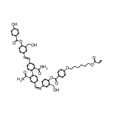 C=CC(=O)OCCCCCCOc1ccc(C(=O)Oc2ccc(/N=N\c3ccc(-c4ccc(N=Nc5ccc(OC(=O)c6ccc(O)cc6)c(CO)c5)cc4C(N)=O)c(C(N)=O)c3)cc2CO)cc1